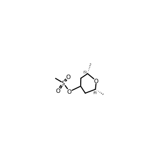 C[C@@H]1CC(OS(C)(=O)=O)C[C@H](C)O1